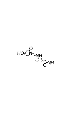 CNC(=O)CSCC(=O)NCCN1CC[C@H](O)CC1=O